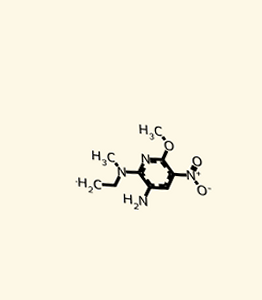 [CH2]CN(C)c1nc(OC)c([N+](=O)[O-])cc1N